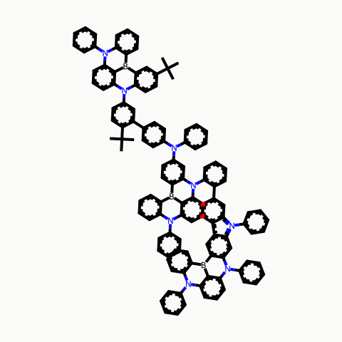 CC(C)(C)c1ccc2c(c1)B1c3ccccc3N(c3ccccc3)c3cccc(c31)N2c1ccc(C(C)(C)C)c(-c2ccc(N(c3ccccc3)c3ccc4c(c3)N(c3ccccc3-c3ccc5c6cc7c(cc6n(-c6ccccc6)c5c3)N(c3ccccc3)c3cccc5c3B7c3ccccc3N5c3ccccc3)c3cccc5c3B4c3ccccc3N5c3ccccc3)cc2)c1